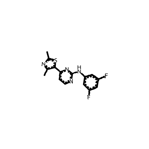 Cc1nc(C)c(-c2ccnc(Nc3cc(F)cc(F)c3)n2)s1